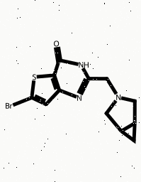 O=c1[nH]c(CN2CC3CC3C2)nc2cc(Br)sc12